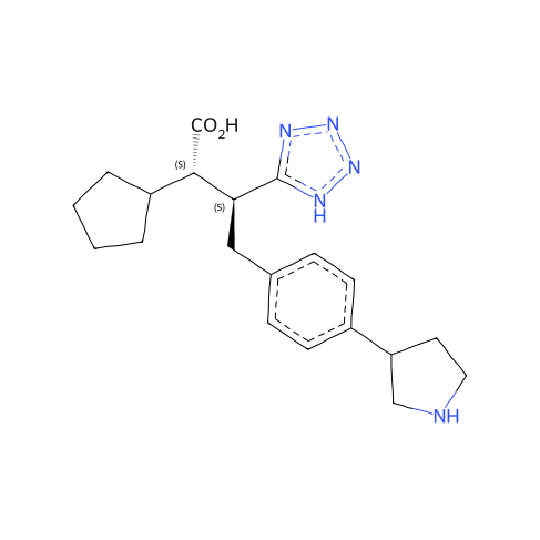 O=C(O)[C@@H](C1CCCC1)[C@H](Cc1ccc(C2CCNC2)cc1)c1nnn[nH]1